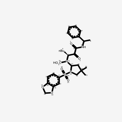 CCCC[C@@H](C(=O)C(=O)NC(C)c1ccccc1)N(C(=O)O)C1CC(C)(C)CN1S(=O)(=O)c1ccc2c(c1)OCO2